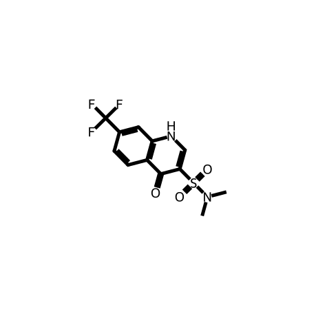 CN(C)S(=O)(=O)c1c[nH]c2cc(C(F)(F)F)ccc2c1=O